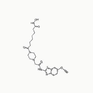 C#COc1ccc2nc(NC(=O)CN3CCN(C(=O)CCCCCCC(=O)NO)CC3)sc2c1